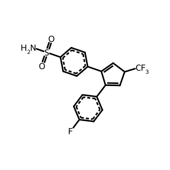 NS(=O)(=O)c1ccc(C2=CC(C(F)(F)F)C=C2c2ccc(F)cc2)cc1